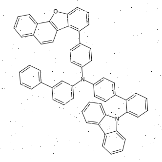 c1ccc(-c2cccc(N(c3ccc(-c4ccccc4-n4c5ccccc5c5ccccc54)cc3)c3ccc(-c4cccc5oc6c7ccccc7ccc6c45)cc3)c2)cc1